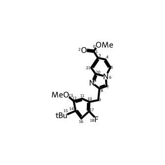 COC(=O)c1ccn2cc(Cc3cc(OC)c(C(C)(C)C)cc3F)nc2c1